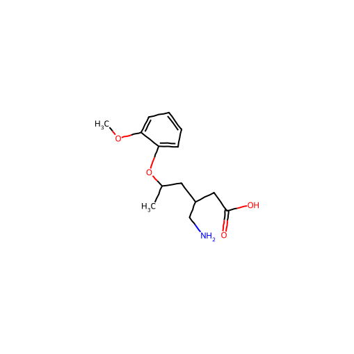 COc1ccccc1OC(C)CC(CN)CC(=O)O